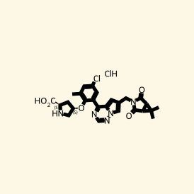 Cc1cc(Cl)cc(-c2ncnn3cc(CN4C(=O)C5C(C4=O)C5(C)C)cc23)c1O[C@@H]1CN[C@H](C(=O)O)C1.Cl